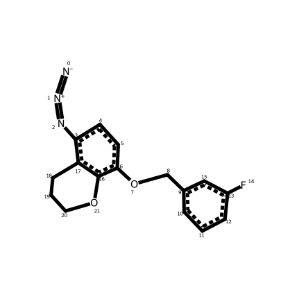 [N-]=[N+]=Nc1ccc(OCc2cccc(F)c2)c2c1CCCO2